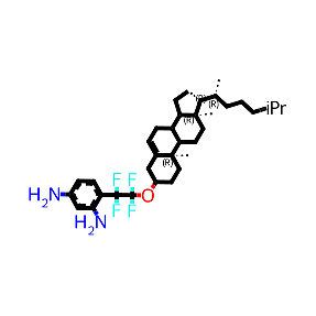 CC(C)CCC[C@@H](C)[C@H]1CCC2C3CC=C4CC(OC(F)(F)C(F)(F)c5ccc(N)cc5N)CC[C@]4(C)C3CC[C@@]21C